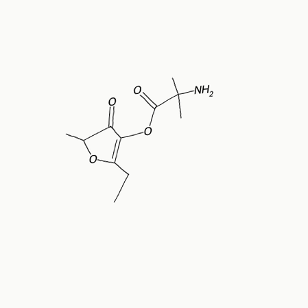 CCC1=C(OC(=O)C(C)(C)N)C(=O)C(C)O1